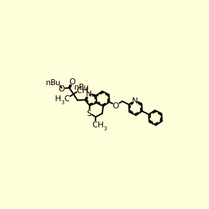 CCCCOC(=O)C(C)(C)Cc1c2c3c(c(OCc4ccc(-c5ccccc5)cn4)ccc3n1CCCC)CC(C)S2